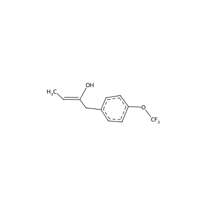 CC=C(O)Cc1ccc(OC(F)(F)F)cc1